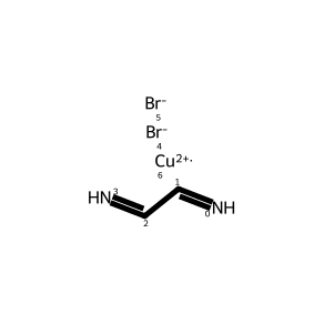 N=CC=N.[Br-].[Br-].[Cu+2]